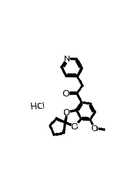 COc1ccc(C(=O)Cc2ccncc2)c2c1OC1(CCCC1)O2.Cl